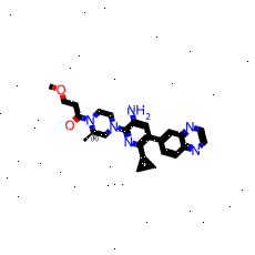 COCCC(=O)N1CCN(c2nc(C3CC3)c(-c3ccc4nccnc4c3)cc2N)C[C@H]1C